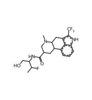 CC(F)C(CO)NC(=O)C1CC2c3cccc4[nH]c(C(F)(F)F)c(c34)CC2N(C)C1